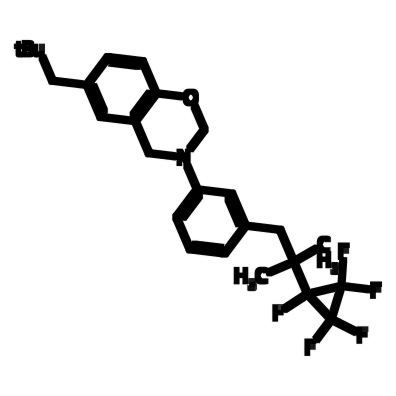 CC(C)(C)Cc1ccc2c(c1)CN(c1cccc(CC(C)(C)C3(F)C(F)(F)C3(F)F)c1)CO2